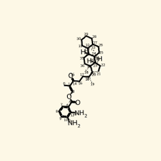 CC(=COC(=O)c1cccc(N)c1N)C(=O)CC[C@@H](C)[C@H]1CC[C@H]2[C@@H]3CCC4CCCC[C@]4(C)[C@H]3CC[C@]12C